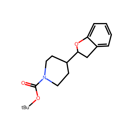 CC(C)(C)OC(=O)N1CCC(C2Cc3ccccc3O2)CC1